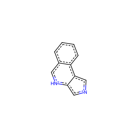 c1ccc2c3cncc-3[nH]cc2c1